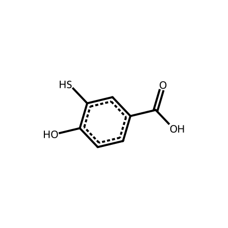 O=C(O)c1ccc(O)c(S)c1